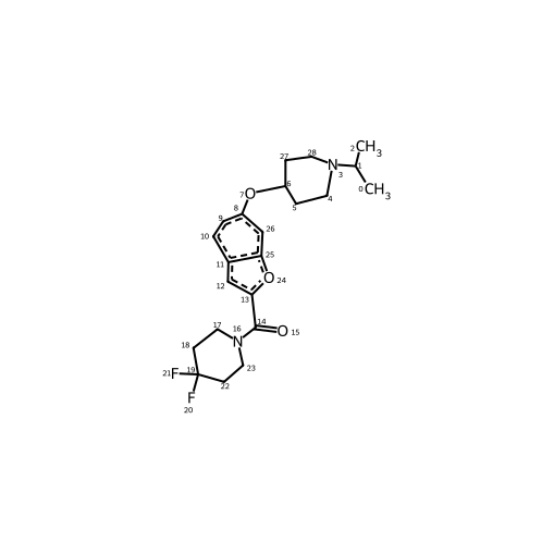 CC(C)N1CCC(Oc2ccc3cc(C(=O)N4CCC(F)(F)CC4)oc3c2)CC1